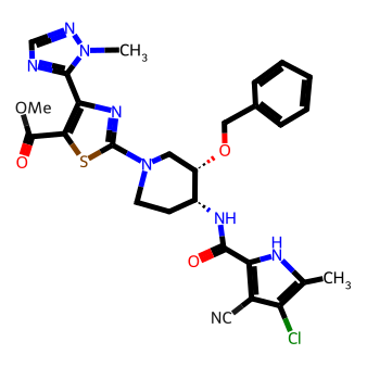 COC(=O)c1sc(N2CC[C@@H](NC(=O)c3[nH]c(C)c(Cl)c3C#N)[C@@H](OCc3ccccc3)C2)nc1-c1ncnn1C